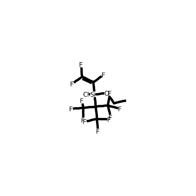 CCO[Si](Cl)(C(F)=C(F)F)C(C(F)(F)F)(C(F)(F)F)C(F)(F)F